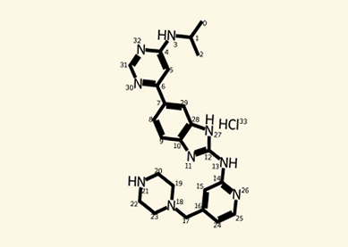 CC(C)Nc1cc(-c2ccc3nc(Nc4cc(CN5CCNCC5)ccn4)[nH]c3c2)ncn1.Cl